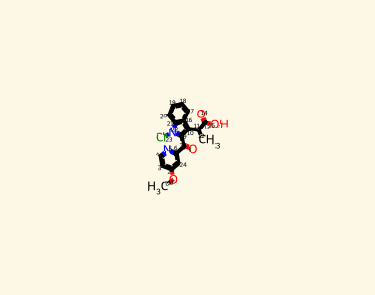 COc1ccnc(C(=O)c2c(C(C)C(=O)O)c3ccccc3n2Cl)c1